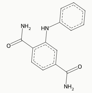 NC(=O)c1ccc(C(N)=O)c(Nc2ccccc2)c1